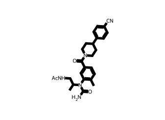 CC(=O)NCC(C)N(C(N)=O)c1cc(C(=O)N2CCC(c3ccc(C#N)cc3)CC2)ccc1C